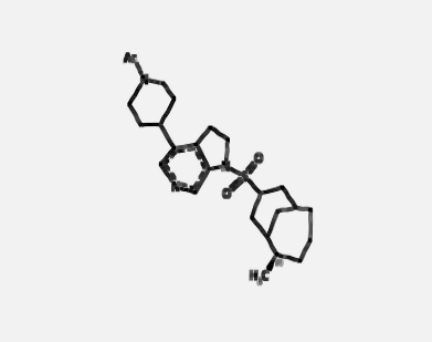 CC(=O)N1CCC(c2cncc3c2CCN3S(=O)(=O)C2CC3CCC[C@@H](C)C(C3)C2)CC1